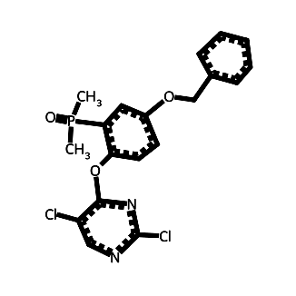 CP(C)(=O)c1cc(OCc2ccccc2)ccc1Oc1nc(Cl)ncc1Cl